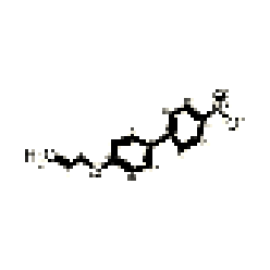 C=CCSc1ccc(-c2ccc([N+](=O)[O-])cc2)cc1